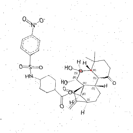 C=C1C(=O)[C@]23[C@H](OC(=O)C4CCC(NS(=O)(=O)c5ccc([N+](=O)[O-])cc5)CC4)[C@H]1CC[C@H]2[C@@]12CO[C@@]3(O)[C@@H](O)[C@@H]1C(C)(C)CCC2=O